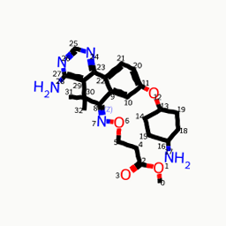 COC(=O)CCO/N=C1\c2cc(OC3CCC(N)CC3)ccc2-c2ncnc(N)c2C1(C)C